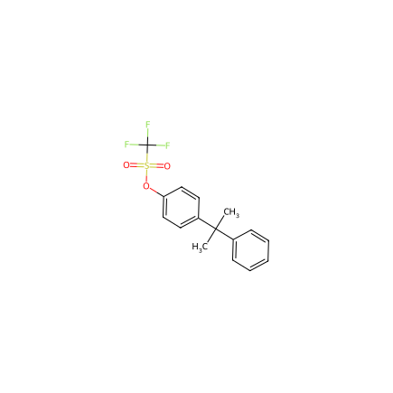 CC(C)(c1ccccc1)c1ccc(OS(=O)(=O)C(F)(F)F)cc1